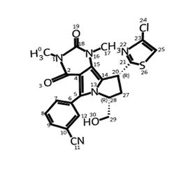 Cn1c(=O)c2c(-c3cccc(C#N)c3)n3c(c2n(C)c1=O)[C@H](c1nc(Cl)cs1)C[C@@H]3CO